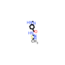 Cc1nnc(NC(=O)C2CCc3[nH]cnc3C2)s1